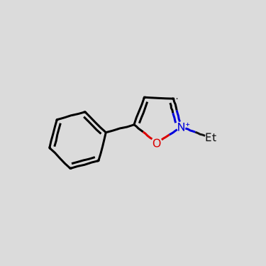 CC[n+]1[c]cc(-c2ccccc2)o1